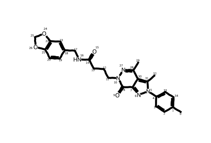 Cc1ccc(-n2nc3c(=O)n(CCCC(=O)NCc4ccc5c(c4)OCO5)nc(C)c3c2C)cc1